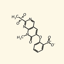 Cn1c(=O)c(Oc2ccccc2[N+](=O)[O-])cc2cnc(S(C)(=O)=O)nc21